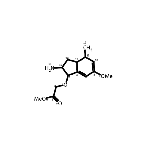 COC(=O)COC1C2=CC(OC)=CC(C)C2CC1N